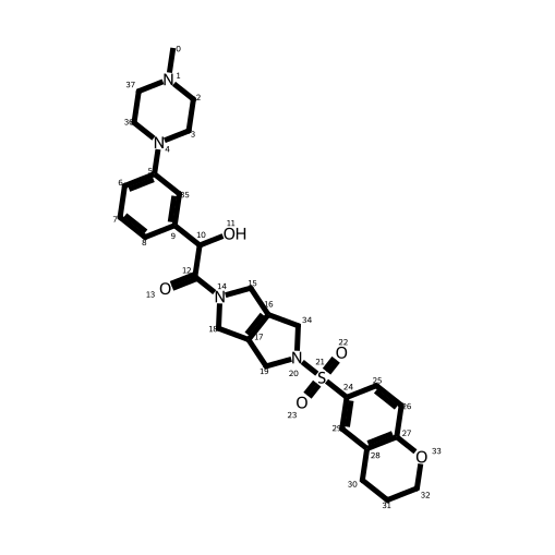 CN1CCN(c2cccc(C(O)C(=O)N3CC4=C(C3)CN(S(=O)(=O)c3ccc5c(c3)CCCO5)C4)c2)CC1